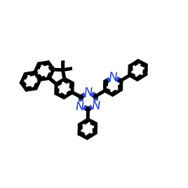 CC1(C)c2cc(-c3nc(-c4ccccc4)nc(-c4ccc(-c5ccccc5)nc4)n3)ccc2-c2c1ccc1ccccc21